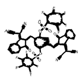 N#CC(C#N)=C1/C(=C/c2cc(OS(=O)(=O)c3c(F)c(F)c(F)c(F)c3F)c(/C=C3\C(=O)c4ccccc4C3=C(C#N)C#N)cc2OS(=O)(=O)c2c(F)c(F)c(F)c(F)c2F)C(=O)c2ccccc21